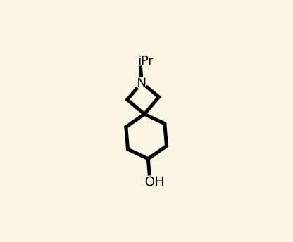 CC(C)N1CC2(CCC(O)CC2)C1